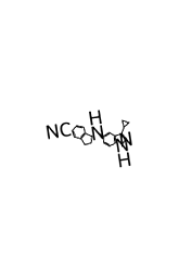 N#Cc1ccc2c(c1)CC[C@@H]2Nc1ccc2[nH]nc(C3CC3)c2c1